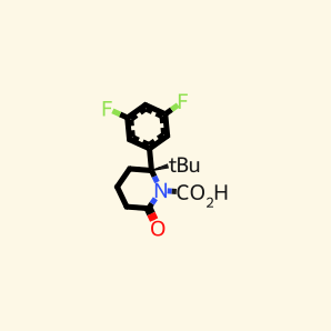 CC(C)(C)[C@]1(c2cc(F)cc(F)c2)CCCC(=O)N1C(=O)O